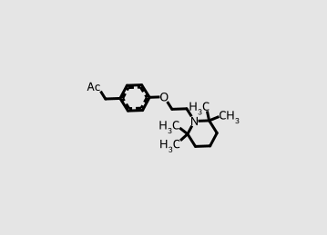 CC(=O)Cc1ccc(OCCN2C(C)(C)CCCC2(C)C)cc1